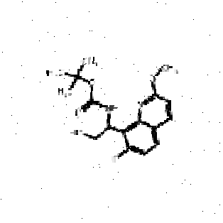 COc1ccc2ccc(F)c(C(CO)NC(=O)OC(C)(C)C)c2n1